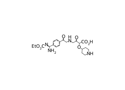 CCOC(=O)/N=C(\N)c1ccc(C(=O)CNCC(=O)C(OC2CCNCC2)C(=O)O)cc1